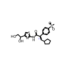 CS(=O)(=O)c1ccc(/C(=C\C2CCCC2)C(=O)Nc2nc(C(O)CO)cs2)cc1